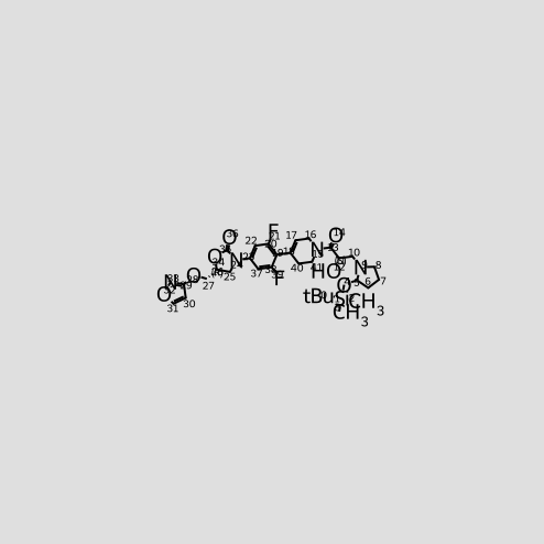 CC(C)(C)[Si](C)(C)OC1CCCN1C[C@H](O)C(=O)N1CC=C(c2c(F)cc(N3C[C@H](COc4ccon4)OC3=O)cc2F)CC1